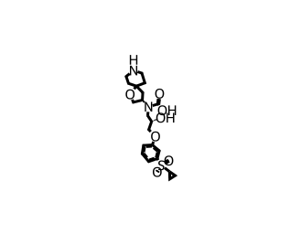 O=C(O)N(C[C@H](O)COc1cccc(S(=O)(=O)C2CC2)c1)[C@H]1COC2(CCNCC2)C1